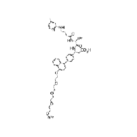 CCCOCCOCCOCCOCCOc1ccc(-c2ccc([C@H](CC(=O)O)NC(=O)C(NC(=O)CCCNc3cc(C)ccn3)C(C)C)cc2)c2ccccc12